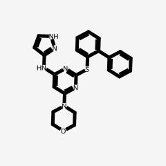 c1ccc(-c2ccccc2Sc2nc(Nc3cc[nH]n3)cc(N3CCOCC3)n2)cc1